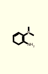 CN(C)C1=C(N)CCC=C1